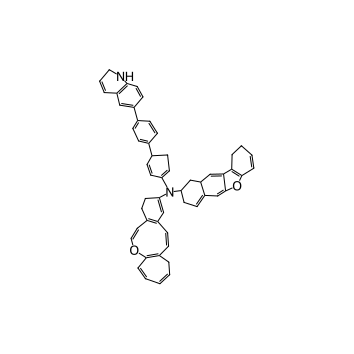 C1=CCc2ccc3c(ccoc2C=C1)CCC(N(C1=CCC(c2ccc(-c4ccc5c(c4)C=CCN5)cc2)C=C1)C1CC=C2C=c4oc5c(c4=CC2C1)CCC=C5)=C3